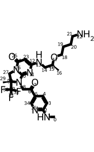 CNc1ccc(C(=O)CN2c3nc(NC[C@H](C)OCCCCN)cc(=O)n3C[C@@]2(C)C(F)(F)F)cn1